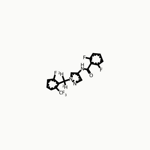 [2H]C([2H])(c1c(F)cccc1C(F)(F)F)n1cc(NC(=O)c2c(F)cccc2F)cn1